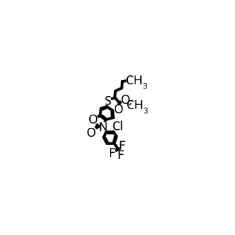 CCCCC(Sc1ccc2c(c1)oc(=O)n2-c1ccc(C(F)(F)F)cc1Cl)C(=O)OC